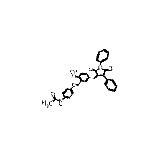 COc1ccc(CC2C(=O)N(c3ccccc3)C(=O)C2c2ccccc2)cc1COc1ccc(NC(C)=O)cc1